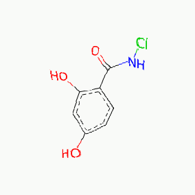 O=C(NCl)c1ccc(O)cc1O